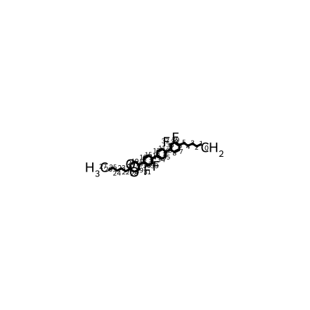 C=CCCCCc1ccc(-c2ccc(-c3ccc(C4COC(CCCCCC)OC4)c(F)c3F)cc2)c(F)c1F